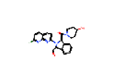 O=CC1c2ccccc2C(C(=O)N2CCC(O)CC2)N1c1ccc2ccc(Cl)nc2n1